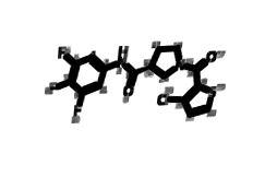 O=C(Nc1cc(F)c(F)c(F)c1)[C@H]1CCN(C(=O)c2sccc2Cl)C1